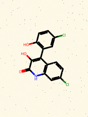 O=c1[nH]c2cc(Cl)ccc2c(-c2cc(Cl)ccc2O)c1O